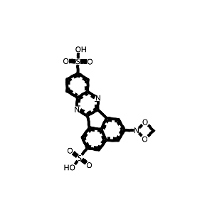 O=S(=O)(O)c1cc2c3c(cc(N4OCO4)cc3c1)-c1nc3cc(S(=O)(=O)O)ccc3nc1-2